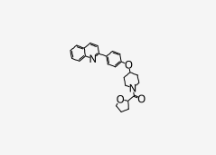 O=C(C1CCCO1)N1CCC(Oc2ccc(-c3ccc4ccccc4n3)cc2)CC1